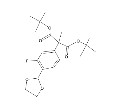 CC(C)(C)OC(=O)C(C)(C(=O)OC(C)(C)C)c1ccc(C2OCCO2)c(F)c1